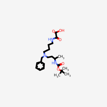 CC(CCN(CCCCNC(=O)C(=O)O)Cc1ccccc1)NC(=O)OC(C)(C)C